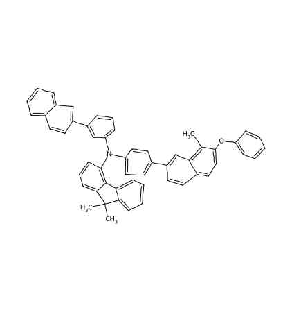 Cc1c(Oc2ccccc2)ccc2ccc(-c3ccc(N(c4cccc(-c5ccc6ccccc6c5)c4)c4cccc5c4-c4ccccc4C5(C)C)cc3)cc12